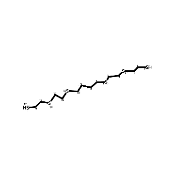 SCCSCCSCCCCSCCSCCS